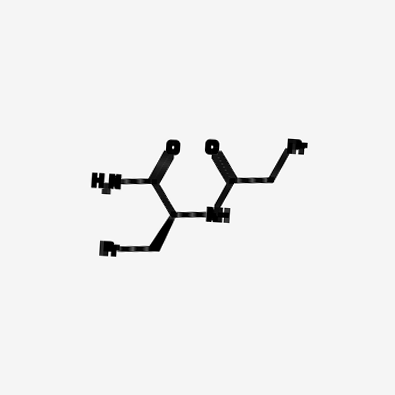 CC(C)CC(=O)N[C@@H](CC(C)C)C(N)=O